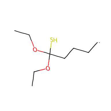 [CH2]CCCC(S)(OCC)OCC